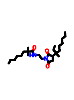 CCCCCCC(C)(C)C(=O)NCCN1C(=O)CC(C(C)(CC)CCCCCC)C1=O